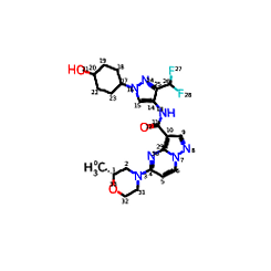 C[C@@H]1CN(c2ccn3ncc(C(=O)Nc4cn(C5CCC(O)CC5)nc4C(F)F)c3n2)CCO1